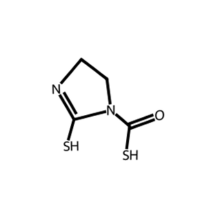 O=C(S)N1CCN=C1S